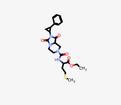 CCOC(=O)C(CCSC)NC(=O)N1CCN2C(=O)N(C3CC3c3ccccc3)C(=O)C2C1